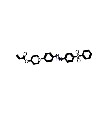 C=CC(=O)OC1CCN(c2ccc(/N=N/c3ccc(S(=O)(=O)c4ccccc4)cc3)cc2)CC1